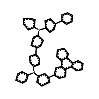 c1ccc(-c2ccc(N(c3ccccc3)c3ccc(-c4ccc(N(c5ccccc5)c5cccc(-c6ccc7c8ccccc8c8ccccc8c7c6)c5)cc4)cc3)cc2)cc1